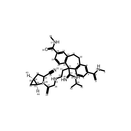 C=C(NC)c1ccc2c(c1)CCc1cc(C(=O)NC)ccc1C2(CCNCC(=C)N1C(C#N)C[C@@H]2C[C@@H]21)C(=N)NC(C)C